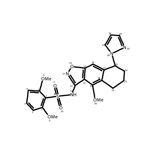 COc1cccc(OC)c1S(=O)(=O)Nc1noc2cc3c(c(OC)c12)CCCC3n1cccn1